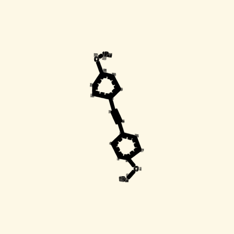 CC(C)(C)Oc1ccc(C#Cc2ccc(OC(C)(C)C)cc2)cc1